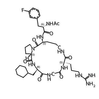 CC(=O)N[C@@H](Cc1cccc(F)c1)C(=O)N[C@H]1CCCNC(=O)[C@H](CCCNC(=N)N)NC(=O)CNC(=O)[C@@H](CC2CCCCC2)NC(=O)[C@@H]2CCCN2C1=O